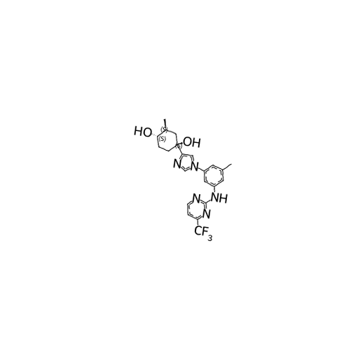 Cc1cc(Nc2nccc(C(F)(F)F)n2)cc(-n2cnc([C@]3(O)CC[C@H](O)[C@@H](C)C3)c2)c1